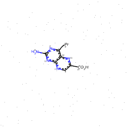 CC(C)c1nc(N)nc2ncc(C(=O)O)nc12